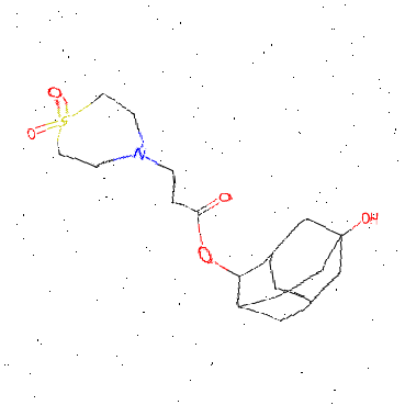 O=C(CCN1CCS(=O)(=O)CC1)OC1C2CC3CC1CC(O)(C3)C2